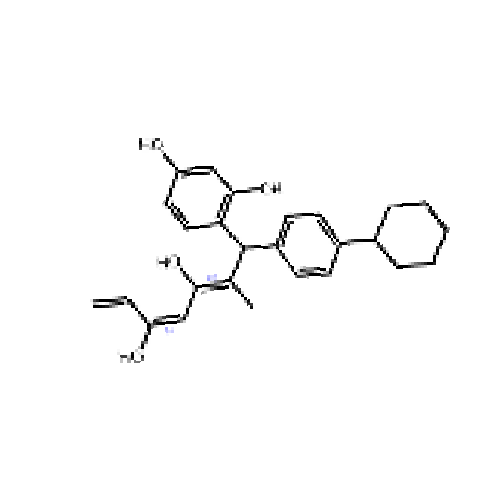 C=C/C(O)=C\C(O)=C(/C)C(c1ccc(C2CCCCC2)cc1)c1ccc(O)cc1O